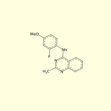 COc1ccc(Nc2nc(C)nc3ccccc23)c(F)c1